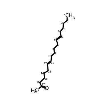 CCCCCC=CCCCCC=CCCCCC(=O)O